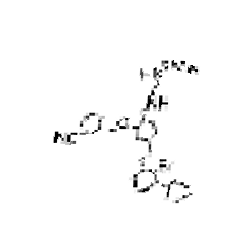 CSNCCNCc1ccc(CCc2cccc(-c3ccccc3)c2Br)cc1OCc1cccc(C#N)c1